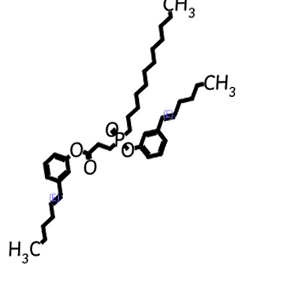 CCCC/C=C/c1cccc(OC(=O)CCP(=O)(CCCCCCCCCCCC)Oc2cccc(/C=C/CCCC)c2)c1